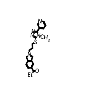 CCC(=O)c1ccc2c(c1)CN(CCCSc1nnc(-c3cccnc3)n1C)C2